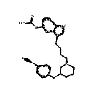 N#Cc1ccc(CC2CCCN(CCCCc3c[nH]c4ccc(OC(=O)O)cc34)C2)cc1